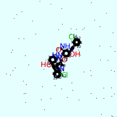 NC(=O)[C@H]1C[C@](O)(C#Cc2cccc(Cl)c2)CCC1NN(C(=O)c1cccnc1)[C@H]1CCC[C@@](O)(C#Cc2cccc(Cl)c2)C1